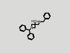 OC1(CNCc2ccccc2)CN(C(c2ccccc2)c2ccccc2)C1